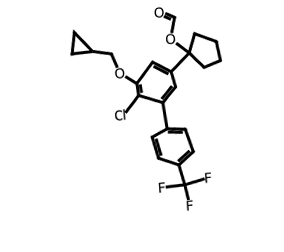 O=COC1(c2cc(OCC3CC3)c(Cl)c(-c3ccc(C(F)(F)F)cc3)c2)CCCC1